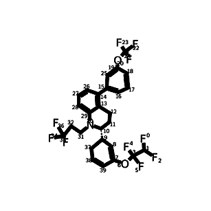 FC(F)C(F)(F)OC1=CC([C@H]2CCc3c(-c4cccc(OC(F)(F)F)c4)cccc3N2CCC(F)(F)F)CC=C1